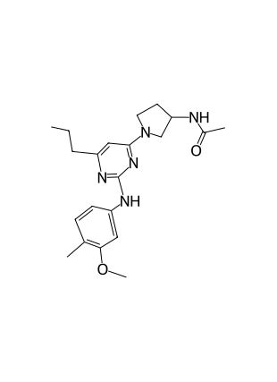 CCCc1cc(N2CCC(NC(C)=O)C2)nc(Nc2ccc(C)c(OC)c2)n1